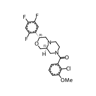 COc1cccc(C(=O)N2CCN3C[C@@H](c4cc(F)c(F)cc4F)OC[C@@H]3C2)c1Cl